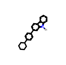 CCn1c2ccccc2c2ccc(-c3ccc(C4CCCCC4)cc3)cc21